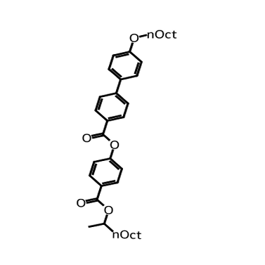 CCCCCCCCOc1ccc(-c2ccc(C(=O)Oc3ccc(C(=O)OC(C)CCCCCCCC)cc3)cc2)cc1